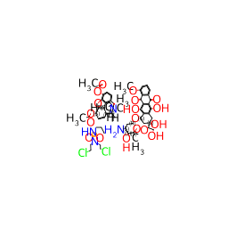 CC(=O)Oc1ccc2c3c1O[C@H]1[C@@H](OC(C)=O)C=C[C@H]4[C@@H](C2)N(C)CC[C@@]341.COc1cccc2c1C(=O)c1c(O)c3c(c(O)c1C2=O)C[C@@](O)(C(=O)CO)C[C@@H]3O[C@H]1C[C@H](N)[C@H](O)[C@H](C)O1.O=P1(N(CCCl)CCCl)NCCCO1